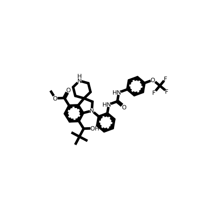 COC(=O)c1ccc(C(O)C(C)(C)C)c2c1C1(CCNCC1)CN2c1ccccc1NC(=O)Nc1ccc(OC(F)(F)F)cc1